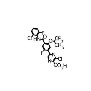 CC(Oc1cc(-c2cnc(C(=O)O)c(Cl)n2)c(F)cc1C(=O)Nc1c(F)cccc1Cl)C(F)(F)F